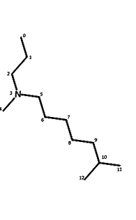 CCCN(C)CCCCCC(C)C